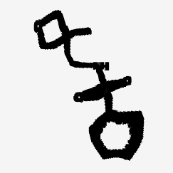 CC1(CNS(=O)(=O)c2ccccc2)COC1